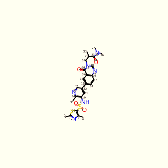 Cc1nc(C)c(S(=O)(=O)Nc2cc(-c3ccc4ncn(CC(C)C(=O)N(C)C)c(=O)c4c3)cnc2C)s1